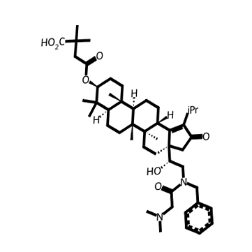 CC(C)C1=C2[C@H]3CC[C@@H]4[C@@]5(C)CC[C@H](OC(=O)CC(C)(C)C(=O)O)C(C)(C)[C@@H]5CC[C@@]4(C)[C@]3(C)CC[C@@]2([C@@H](O)CN(Cc2ccccc2)C(=O)CN(C)C)CC1=O